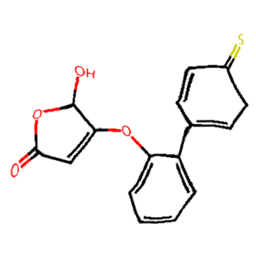 O=C1C=C(Oc2ccccc2C2=CCC(=S)C=C2)C(O)O1